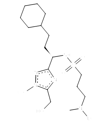 CCN(CC)CCCS(=O)(=O)N[C@H](CCC1CCCCC1)c1nc(CO)n(C)n1